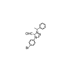 CC(c1ccccc1)N1N=CN(c2ccc(Br)cc2)C1C=O